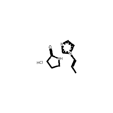 CC=Cn1ccnc1.Cl.O=C1CCCN1